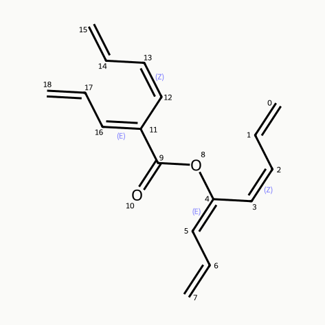 C=C/C=C\C(=C/C=C)OC(=O)C(/C=C\C=C)=C/C=C